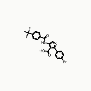 CC(F)(F)c1ccc(C(=O)Nc2csc(-c3ccc(Br)cc3)c2C(=O)O)cc1